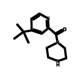 CC(C)(C)c1ccnc(C(=O)N2CCNCC2)c1